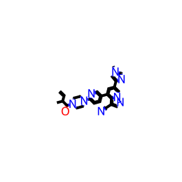 C=CC(C)C(=O)N1CCN(c2ccc(-c3cc(-c4cn(C)cn4)cn4ncc(C#N)c34)cn2)CC1